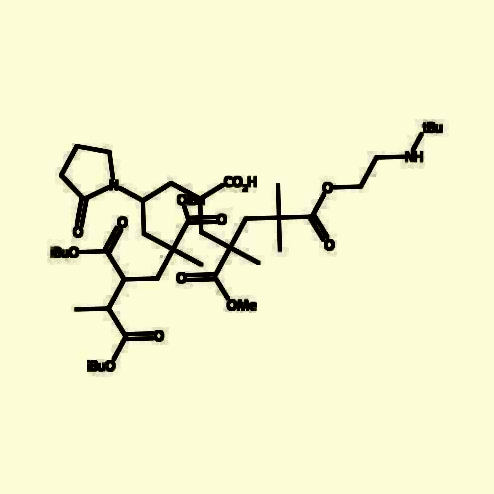 COC(=O)C(C)(CC(CC(CC(C)(CC(C(=O)OCC(C)C)C(C)C(=O)OCC(C)C)C(=O)OCC(C)C)N1CCCC1=O)C(=O)O)CC(C)(C)C(=O)OCCNC(C)(C)C